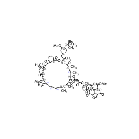 COC[C@H]1OC(=O)c2coc3c2[C@@]1(C)C1=C(C3=O)[C@@H]2CC[C@H](OC(=O)CC(=O)O[C@@H]3/C(C)=C/[C@@H](C)C(=O)C[C@@H]([C@H](C)C[C@@H]4CC[C@@H](O[Si](C)(C)C(C)(C)C)[C@H](OC)C4)OC(=O)[C@@H]4CCCCN4C(=O)C(=O)[C@]4(O)O[C@@H](CC[C@H]4C)C[C@H](OC)/C(C)=C/C=C/C=C/[C@@H](C)C[C@@H](C)C(=O)[C@@H]3OC)[C@@]2(C)C[C@H]1OC(C)=O